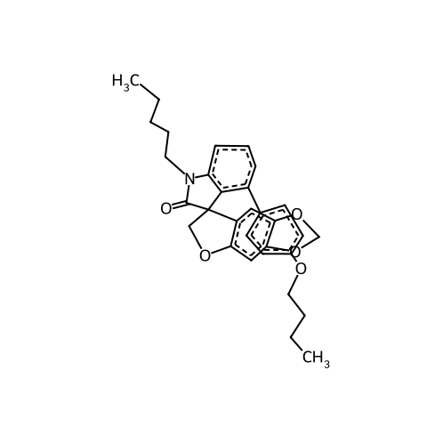 CCCCCN1C(=O)C2(COc3cc4c(cc32)OCO4)c2c(-c3ccc(OCCCC)cc3)cccc21